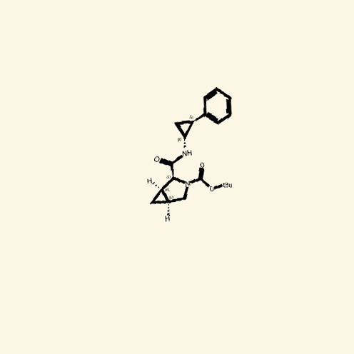 CC(C)(C)OC(=O)N1C[C@H]2C[C@H]2[C@H]1C(=O)N[C@@H]1C[C@H]1c1ccccc1